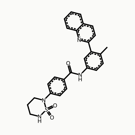 Cc1ccc(NC(=O)c2ccc(N3CCCNS3(=O)=O)cc2)cc1-c1ccc2ccccc2n1